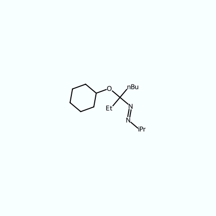 CCCCC(CC)(N=NC(C)C)OC1CCCCC1